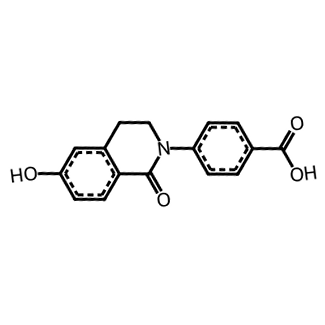 O=C(O)c1ccc(N2CCc3cc(O)ccc3C2=O)cc1